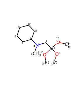 CCO[Si](CN(C)C1CCCCC1)(OCC)OCC